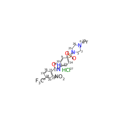 CC(C)N1CCN(S(=O)(=O)c2ccc(NC(=O)c3ccc(C(F)(F)F)cc3[N+](=O)[O-])cc2)CC1.Cl